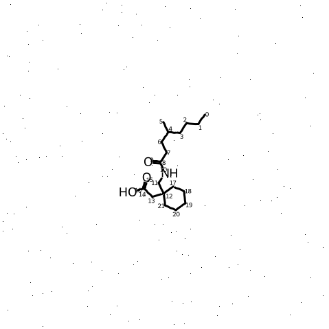 CCCCC(C)CCC(=O)NCC1(CC(=O)O)CCCCC1